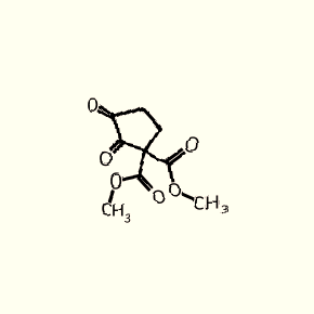 COC(=O)C1(C(=O)OC)CCC(=O)C1=O